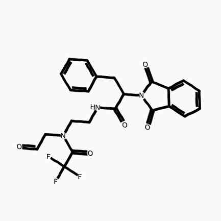 O=CCN(CCNC(=O)C(Cc1ccccc1)N1C(=O)c2ccccc2C1=O)C(=O)C(F)(F)F